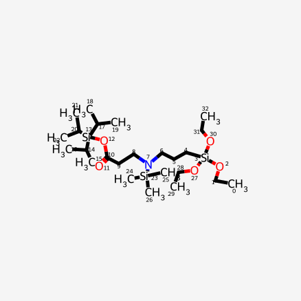 CCO[Si](CCCN(CCC(=O)O[Si](C(C)C)(C(C)C)C(C)C)[Si](C)(C)C)(OCC)OCC